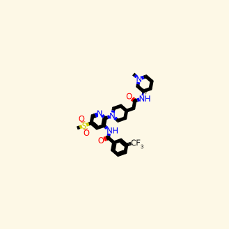 CN1CCC[C@@H](NC(=O)CC2CCN(c3ncc(S(C)(=O)=O)cc3NC(=O)c3cccc(C(F)(F)F)c3)CC2)C1